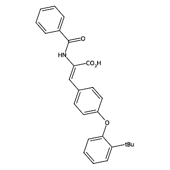 CC(C)(C)c1ccccc1Oc1ccc(/C=C(/NC(=O)c2ccccc2)C(=O)O)cc1